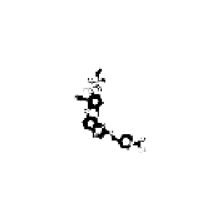 CCN(C)S(=O)(=O)Nc1ccc(F)c(Oc2ccc3ncc(OCC4CCN(C(=O)O)CC4)nc3c2)c1C#N